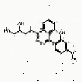 OC[C@@H](O)CNc1nnc(-c2ccc(OC(F)(F)F)cc2O)c2ccccc12